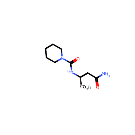 NC(=O)C[C@H](NC(=O)N1CCCCC1)C(=O)O